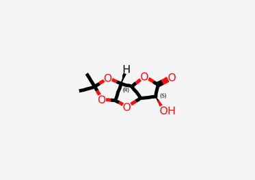 CC1(C)OC2OC3C(OC(=O)[C@H]3O)[C@H]2O1